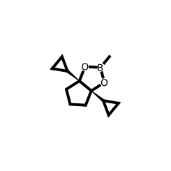 CB1O[C@]2(C3CC3)CCC[C@]2(C2CC2)O1